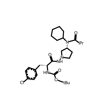 CC(C)C(=O)N(C1CCCCC1)[C@@H]1CCN(NC(=O)[C@@H](Cc2ccc(Cl)cc2)NC(=O)OC(C)(C)C)C1